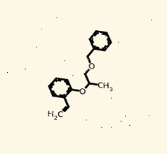 C=Cc1ccccc1OC(C)COCc1ccccc1